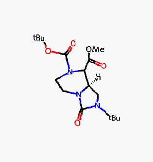 COC(=O)C1[C@H]2CN(C(C)(C)C)C(=O)N2CCN1C(=O)OC(C)(C)C